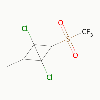 CC1C2(Cl)C(S(=O)(=O)C(F)(F)F)C12Cl